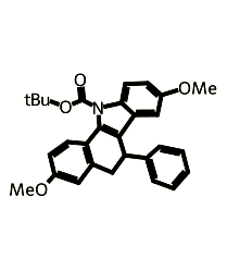 COc1ccc2c(c1)CC(c1ccccc1)c1c-2n(C(=O)OC(C)(C)C)c2ccc(OC)cc12